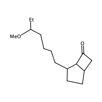 CCC(CCCCC1CCC2CC(=O)C12)OC